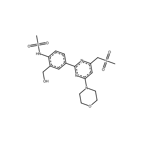 CS(=O)(=O)Cc1cc(N2CCOCC2)nc(-c2ccc(NS(C)(=O)=O)c(CO)c2)n1